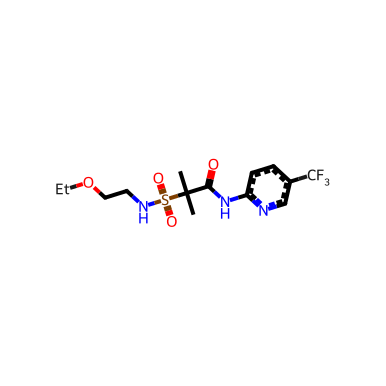 CCOCCNS(=O)(=O)C(C)(C)C(=O)Nc1ccc(C(F)(F)F)cn1